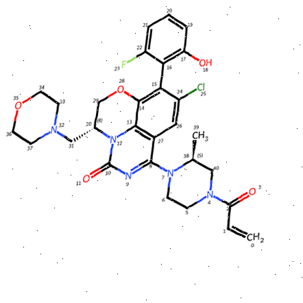 C=CC(=O)N1CCN(c2nc(=O)n3c4c(c(-c5c(O)cccc5F)c(Cl)cc24)OC[C@H]3CN2CCOCC2)[C@@H](C)C1